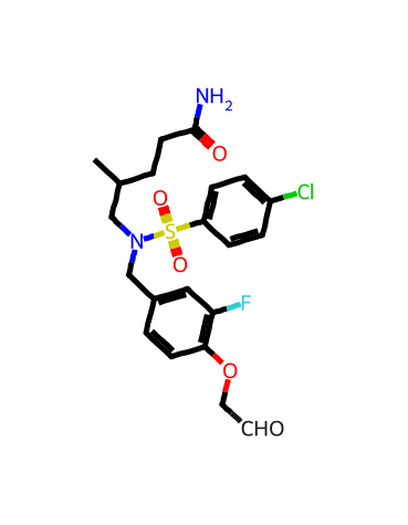 CC(CCC(N)=O)CN(Cc1ccc(OCC=O)c(F)c1)S(=O)(=O)c1ccc(Cl)cc1